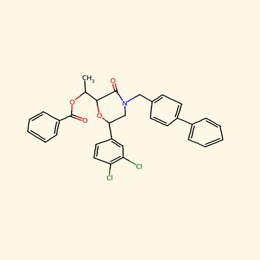 CC(OC(=O)c1ccccc1)C1OC(c2ccc(Cl)c(Cl)c2)CN(Cc2ccc(-c3ccccc3)cc2)C1=O